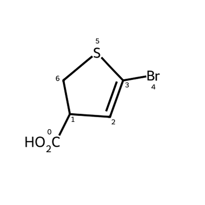 O=C(O)C1C=C(Br)SC1